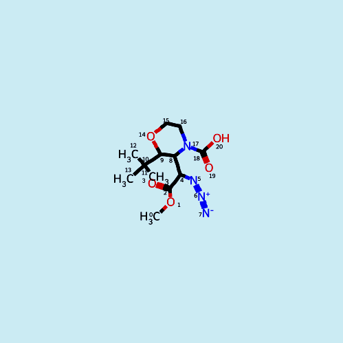 COC(=O)C(N=[N+]=[N-])C1C(C(C)(C)C)OCCN1C(=O)O